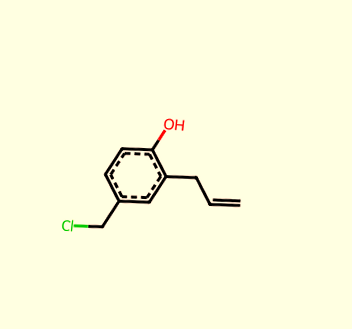 C=CCc1cc(CCl)ccc1O